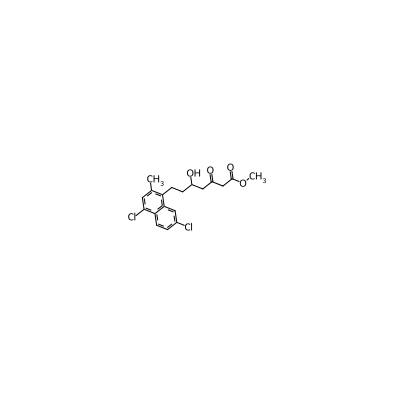 COC(=O)CC(=O)CC(O)CCc1c(C)cc(Cl)c2ccc(Cl)cc12